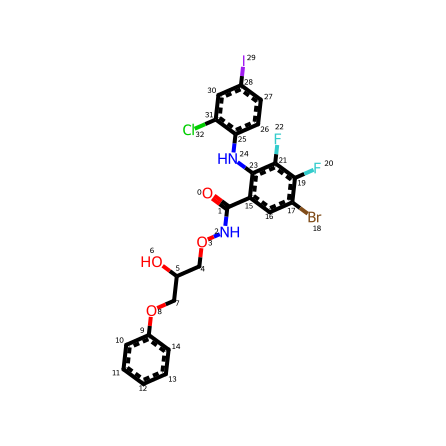 O=C(NOCC(O)COc1ccccc1)c1cc(Br)c(F)c(F)c1Nc1ccc(I)cc1Cl